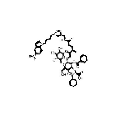 CC(CCC(=O)NCc1cn(CCCCn2ccc3cc([N+](=O)[O-])ccc32)nn1)C(CO[C@@H]1OC(CO)[C@H](O)C(O[C@@H](CC2CCCCC2)C(=O)O)C1OC(=O)c1ccccc1)O[C@@H]1OC(C)[C@@H](O)C(O)C1O